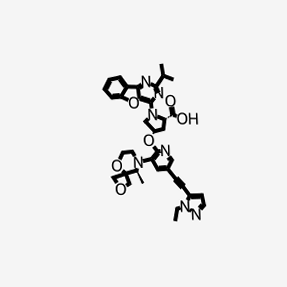 CCn1nccc1C#Cc1cnc(O[C@H]2C[C@@H](C(=O)O)N(c3nc(C(C)C)nc4c3oc3ccccc34)C2)c(N2CCOC3(COC3)[C@@H]2C)c1